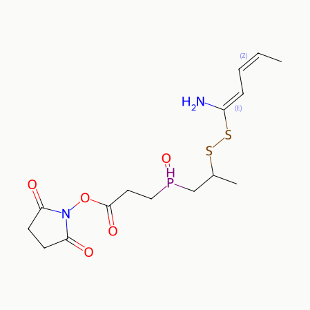 C/C=C\C=C(/N)SSC(C)C[PH](=O)CCC(=O)ON1C(=O)CCC1=O